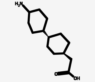 NC1CCC([C@H]2CC[C@H](CC(=O)O)CC2)CC1